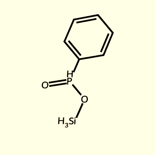 O=[PH](O[SiH3])c1ccccc1